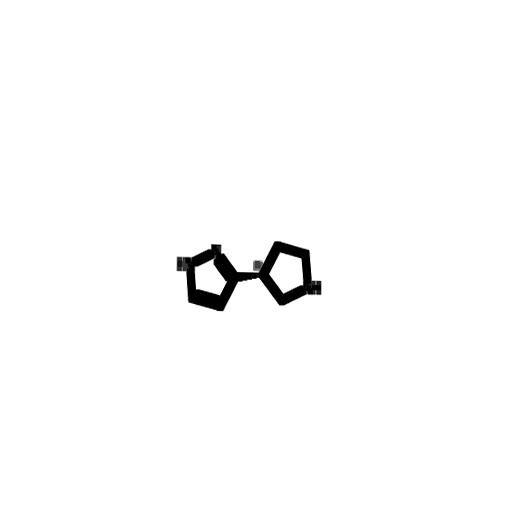 c1cc([C@@H]2CCNC2)n[nH]1